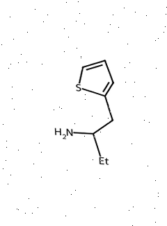 CCC(N)Cc1cccs1